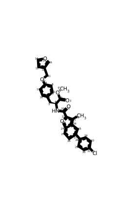 COC(=O)[C@H](Cc1ccc(OCc2ccoc2)cc1)NC(=O)c1oc2ccc(-c3ccc(Cl)cc3)cc2c1C